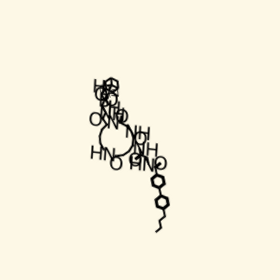 CCCCc1ccc(-c2ccc(C(=O)NCC(=O)NC3CCC(=O)NCCCCC(C(=O)NCB4O[C@@H]5CC6CC(C6(C)C)[C@]5(C)O4)NC(=O)CNC3=O)cc2)cc1